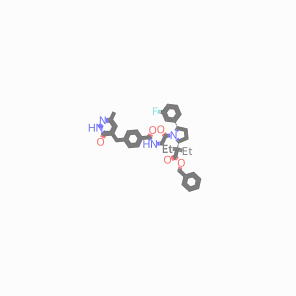 CC[C@@H](NC(=O)c1ccc(Cc2cc(C)n[nH]c2=O)cc1)C(=O)N1[C@H](c2cccc(F)c2)CC[C@@H]1C(CC)(CC)C(=O)OCc1ccccc1